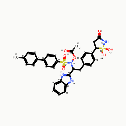 O=C1CC(c2ccc(CC(c3nc4ccccc4[nH]3)N(OC(=O)C(F)(F)F)S(=O)(=O)c3ccc(-c4ccc(C(F)(F)F)cc4)cc3)cc2)S(O)(O)N1